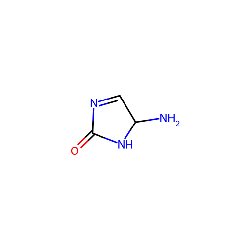 NC1C=NC(=O)N1